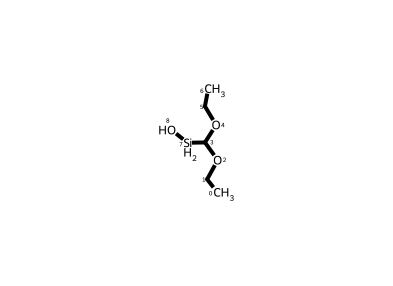 CCOC(OCC)[SiH2]O